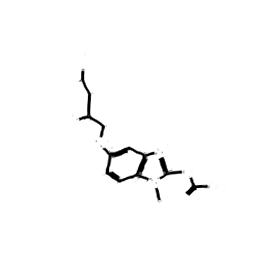 CCCC(=O)Oc1nc2cc(NCC(O)CCCl)ccc2n1C